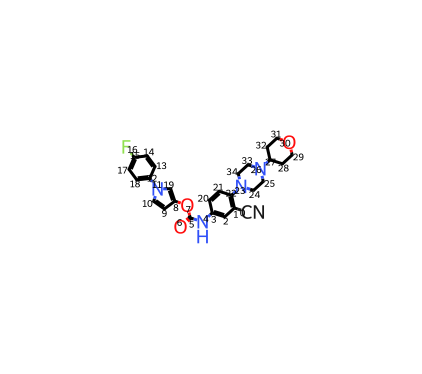 N#Cc1cc(NC(=O)Oc2ccn(-c3ccc(F)cc3)c2)ccc1N1CCN(C2CCOCC2)CC1